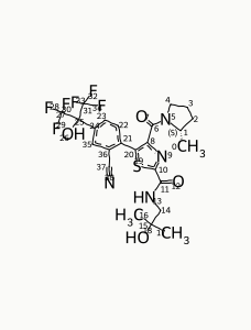 C[C@H]1CCCN1C(=O)c1nc(C(=O)NCC(C)(C)O)sc1-c1ccc(C(O)(C(F)(F)F)C(F)(F)F)cc1C#N